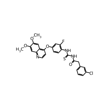 COc1cc2nccc(Oc3ccc(NC(=S)NC(=O)Cc4cccc(Cl)c4)c(F)c3)c2cc1OC